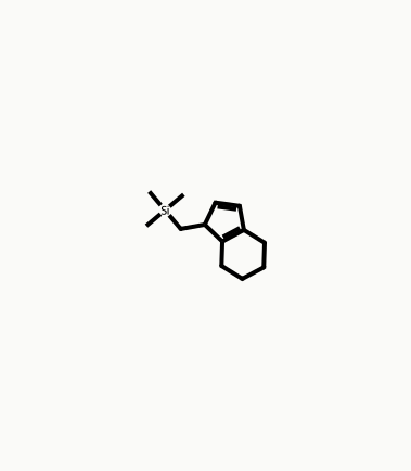 C[Si](C)(C)CC1C=CC2=C1CCCC2